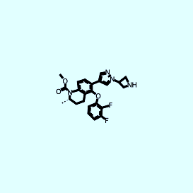 COC(=O)N1c2ccc(-c3cnn(C4CNC4)c3)c(Oc3cccc(F)c3F)c2CC[C@@H]1C